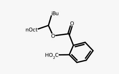 CCCCCCCCC(OC(=O)c1ccccc1C(=O)O)C(C)CC